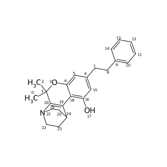 CC1(C)Oc2cc(CCc3ccccc3)cc(O)c2C2=C1N1CCC2CC1